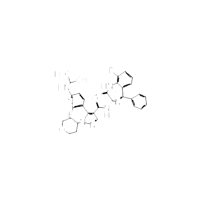 CC(C)Nc1ccc(-c2c(C(=O)N[C@H]3N=C(c4ccccc4)c4cccc(F)c4NC3=O)cnn2C2CCOCC2)c(F)n1